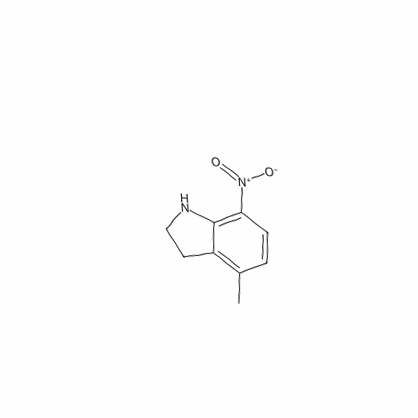 Cc1ccc([N+](=O)[O-])c2c1CCN2